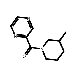 CC1CCCN(C(=O)c2cnccn2)C1